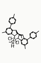 CCC1=Cc2c(-c3ccc(C)cc3)cc(C)cc2[CH]1[Zr]([Cl])([Cl])([CH]1C(C)=Cc2c(-c3ccc(C)cc3)cc(C)cc21)[SiH](C)C